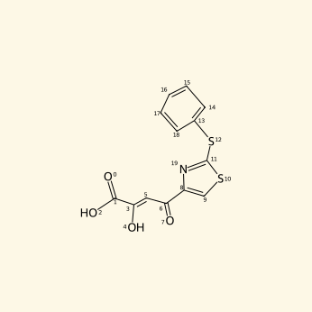 O=C(O)C(O)=CC(=O)c1csc(Sc2ccccc2)n1